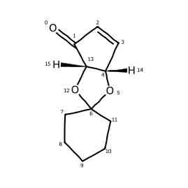 O=C1C=C[C@@H]2OC3(CCCCC3)O[C@H]12